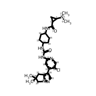 CN(C)C1CC1C(=O)NC1CCC(NC(=O)Nc2cc(-c3cnn4c3CC(C)(C)C4)c(Cl)cn2)CC1